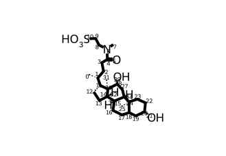 C[C@H](CCC(=O)N(C)CCS(=O)(=O)O)[C@H]1CC[C@H]2[C@@H]3CCC4C[C@H](O)CC[C@]4(C)[C@H]3C[C@H](O)[C@]12C